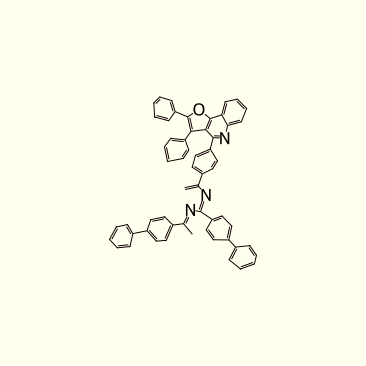 C=C(/N=C(\N=C(/C)c1ccc(-c2ccccc2)cc1)c1ccc(-c2ccccc2)cc1)c1ccc(-c2nc3ccccc3c3oc(-c4ccccc4)c(-c4ccccc4)c23)cc1